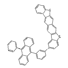 c1ccc(-c2c3ccccc3c(-c3cccc(-c4ccc5sc6cc7cc8sc9ccccc9c8cc7cc6c5c4)c3)c3ccccc23)cc1